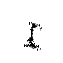 CC(C)(C)[Si](C)(C)OCCN1CC(C#CC#Cc2cc3n(c2)C(=O)N(CC[C@](C)(C(=O)NO)S(C)(=O)=O)C3)C1